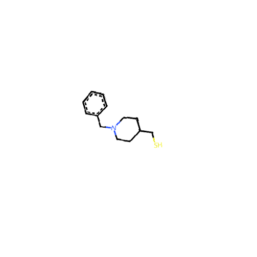 SCC1CCN(Cc2ccccc2)CC1